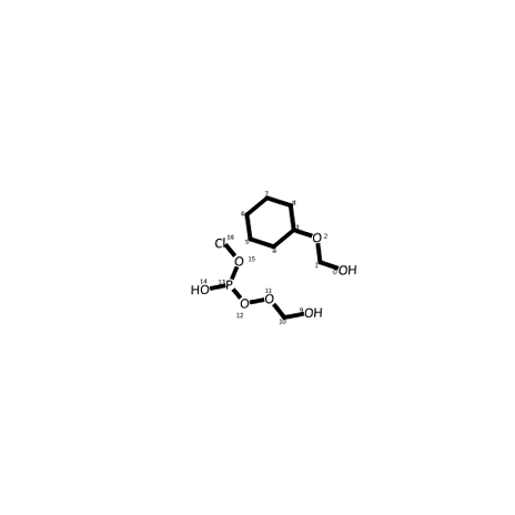 OCOC1CCCCC1.OCOOP(O)OCl